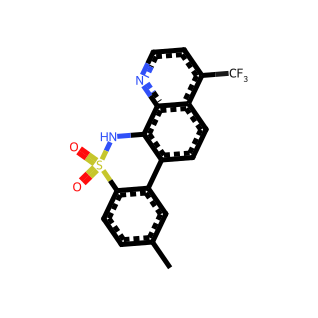 Cc1ccc2c(c1)-c1ccc3c(C(F)(F)F)ccnc3c1NS2(=O)=O